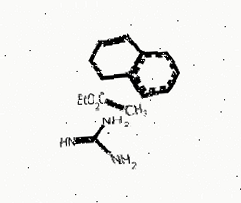 C1=Cc2ccccc2CC1.CCOC(C)=O.N=C(N)N